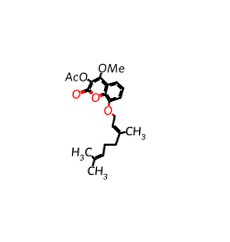 COc1c(OC(C)=O)c(=O)oc2c(OC/C=C(\C)CCC=C(C)C)cccc12